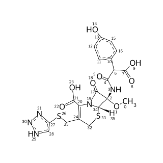 CO[C@@]1(NC(=O)C(C(=O)O)c2ccc(O)cc2)C(=O)N2C(C(=O)O)=C(CSc3c[nH]nn3)CS[C@H]21